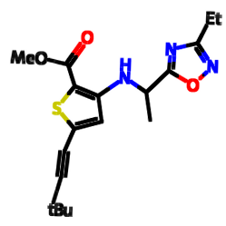 CCc1noc(C(C)Nc2cc(C#CC(C)(C)C)sc2C(=O)OC)n1